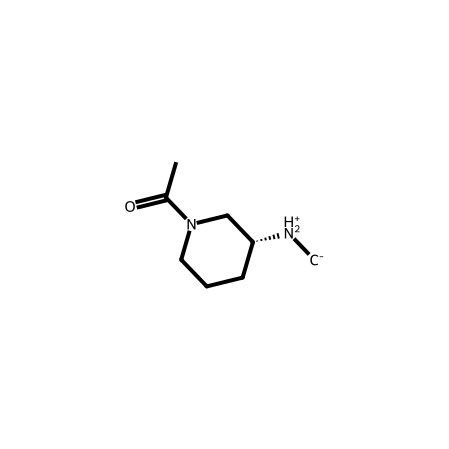 [CH2-][NH2+][C@@H]1CCCN(C(C)=O)C1